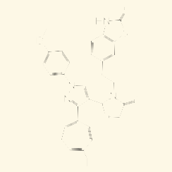 CBc1ccc(-n2cc(C3OCC(=O)N3CCc3ccc4[nH]c(=O)sc4c3)c(C3=CCC=C(F)C=C3)n2)cc1